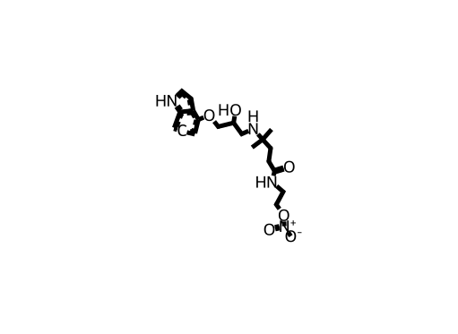 CC(C)(CCC(=O)NCCO[N+](=O)[O-])NCC(O)COc1cccc2[nH]ccc12